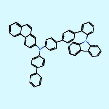 c1ccc(-c2ccc(N(c3ccc(-c4ccc(-c5ccccc5-n5c6ccccc6c6ccccc65)cc4)cc3)c3ccc4c(ccc5ccccc54)c3)cc2)cc1